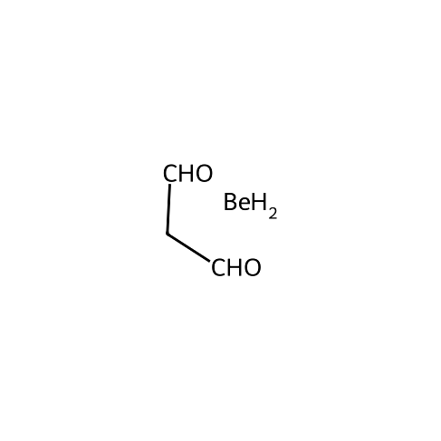 O=CCC=O.[BeH2]